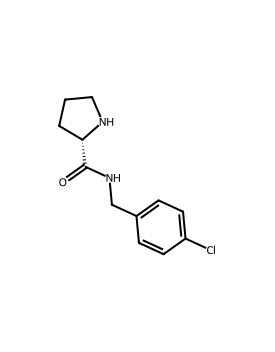 O=C(NCc1ccc(Cl)cc1)[C@@H]1CCCN1